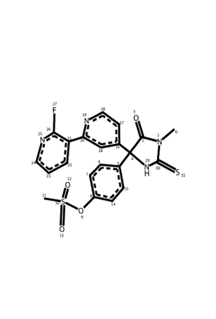 CN1C(=O)C(c2ccc(OS(C)(=O)=O)cc2)(c2ccnc(-c3cccnc3F)c2)NC1=S